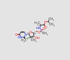 C=C1NC(=O)C=CN1[C@@H]1O[C@H](CO[P@](C)(=O)N[C@@H](C)C(=O)OC(C)C)[C@@H](O)[C@@]1(C)F